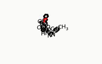 C[C@@H]1CN(C)CCN1c1cc(NC(=O)[C@@H]2CCN(C(=O)O)N2C(=O)[C@H](CC2CCCC2)CN(C=O)OCc2ccccc2)ncn1